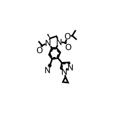 CC(=O)N1c2cc(C#N)c(-c3cnn(C4CC4)c3)cc2N(C(=O)OC(C)C)C[C@@H]1C